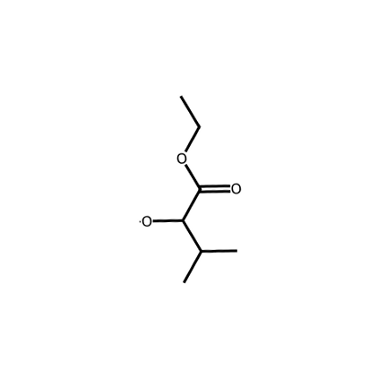 CCOC(=O)C([O])C(C)C